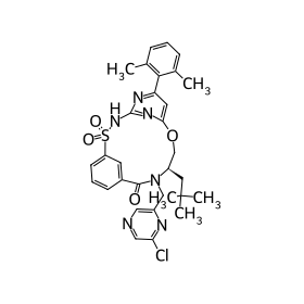 Cc1cccc(C)c1-c1cc2nc(n1)NS(=O)(=O)c1cccc(c1)C(=O)N(Cc1cncc(Cl)n1)[C@H](CC(C)(C)C)CO2